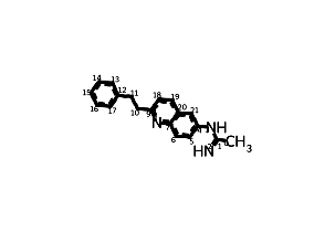 CC(=N)Nc1ccc2nc(CCc3ccccc3)ccc2c1